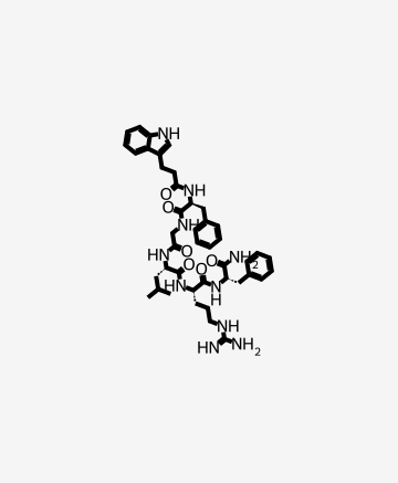 CC(C)C[C@H](NC(=O)CNC(=O)[C@H](Cc1ccccc1)NC(=O)CCc1c[nH]c2ccccc12)C(=O)N[C@@H](CCCNC(=N)N)C(=O)N[C@@H](Cc1ccccc1)C(N)=O